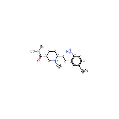 CCN(CC)C(=O)C1CCC(CCc2cc(OC)ccc2N)N(C)C1